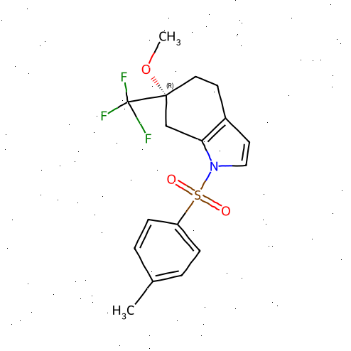 CO[C@]1(C(F)(F)F)CCc2ccn(S(=O)(=O)c3ccc(C)cc3)c2C1